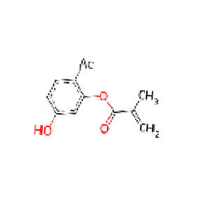 C=C(C)C(=O)Oc1cc(O)ccc1C(C)=O